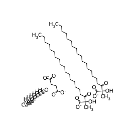 CCCCCCCCCCCCCCCCCC(=O)C(C)(O)C(=O)[O-].CCCCCCCCCCCCCCCCCC(=O)C(C)(O)C(=O)[O-].O.O.O.O.O.O.O=C([O-])CCC(=O)[O-].[Ca+2].[Na+].[Na+]